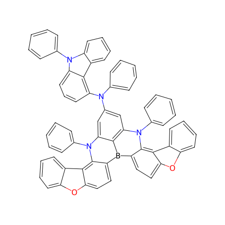 c1ccc(N2c3cc(N(c4ccccc4)c4cccc5c4c4ccccc4n5-c4ccccc4)cc4c3B(c3ccc5oc6ccccc6c5c32)c2ccc3oc5ccccc5c3c2N4c2ccccc2)cc1